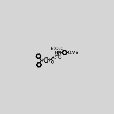 CCOC(=O)c1cc(OC)ccc1NC(=O)COCC(=O)N1CCN(C(c2ccccc2)c2ccccc2)CC1